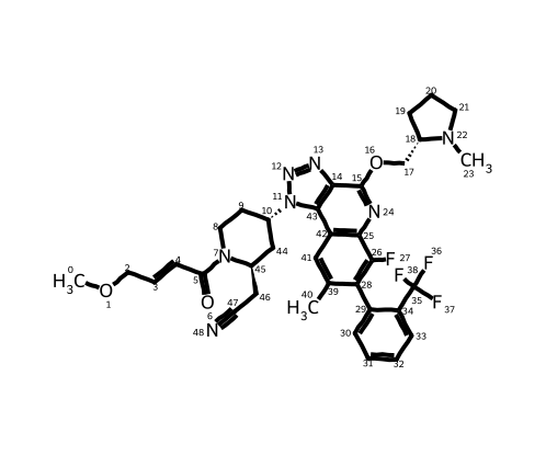 COC/C=C/C(=O)N1CC[C@H](n2nnc3c(OC[C@@H]4CCCN4C)nc4c(F)c(-c5ccccc5C(F)(F)F)c(C)cc4c32)C[C@H]1CC#N